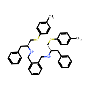 Cc1ccc(SC[C@H](Cc2ccccc2)NCc2ccccc2CN[C@H](CSc2ccc(C)cc2)Cc2ccccc2)cc1